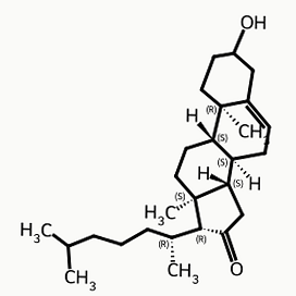 CC(C)CCC[C@@H](C)[C@H]1C(=O)C[C@H]2[C@@H]3CC=C4CC(O)CC[C@]4(C)[C@H]3CC[C@]12C